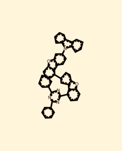 c1ccc(-c2nc(-c3ccccc3)nc(-c3cccc4oc5ccc(-c6cccc7oc8cc(-n9c%10ccccc%10c%10ccccc%109)ccc8c67)cc5c34)n2)cc1